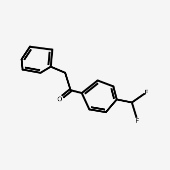 O=C(Cc1ccccc1)c1ccc(C(F)F)cc1